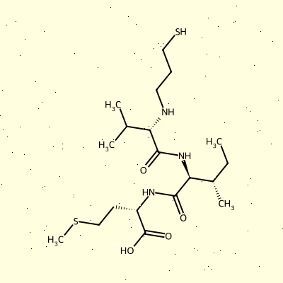 CC[C@H](C)[C@H](NC(=O)[C@@H](NCCCS)C(C)C)C(=O)N[C@@H](CCSC)C(=O)O